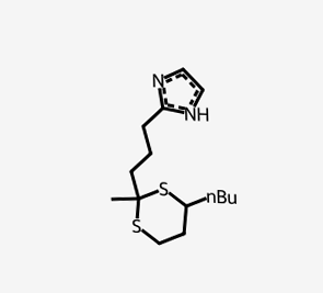 CCCCC1CCSC(C)(CCCc2ncc[nH]2)S1